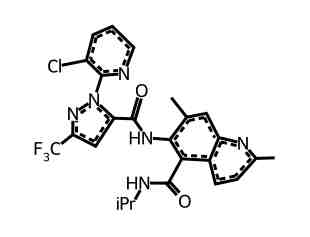 Cc1ccc2c(C(=O)NC(C)C)c(NC(=O)c3cc(C(F)(F)F)nn3-c3ncccc3Cl)c(C)cc2n1